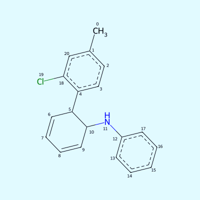 Cc1ccc(C2C=CC=CC2Nc2ccccc2)c(Cl)c1